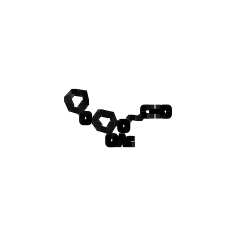 CC(=O)Oc1cc(Oc2ccccc2)ccc1OCCC=O